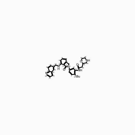 CC(C)(C)c1ccc(N2Cc3cccc(NCc4ccc5ncccc5c4)c3C2=O)cc1NC(=O)CC1CNCCO1